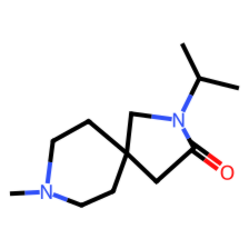 CC(C)N1CC2(CCN(C)CC2)CC1=O